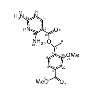 COC(=O)c1ccc(C(C)OC(=O)c2cnc(N)nc2N)c(OC)c1